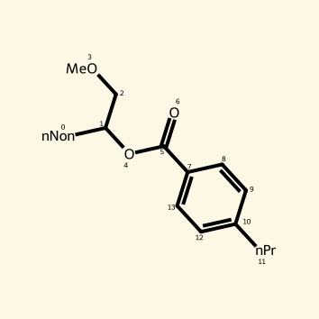 CCCCCCCCCC(COC)OC(=O)c1ccc(CCC)cc1